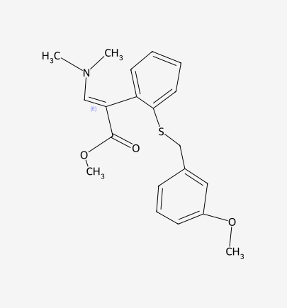 COC(=O)/C(=C/N(C)C)c1ccccc1SCc1cccc(OC)c1